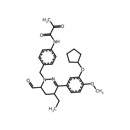 CCC1CC(C=O)N(Cc2ccc(NC(=O)C(C)=O)cc2)N=C1c1ccc(OC)c(OC2CCCC2)c1